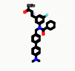 COC(=O)/C=C/c1cc(F)cc(N(Cc2ccc(-c3ccc(N(C)C)cc3)cc2)C(=O)C2CCCCC2)c1